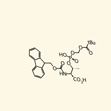 C[C@@H](OP(=O)(O)OCOC(=O)C(C)(C)C)[C@H](NC(=O)OCC1c2ccccc2-c2ccccc21)C(=O)O